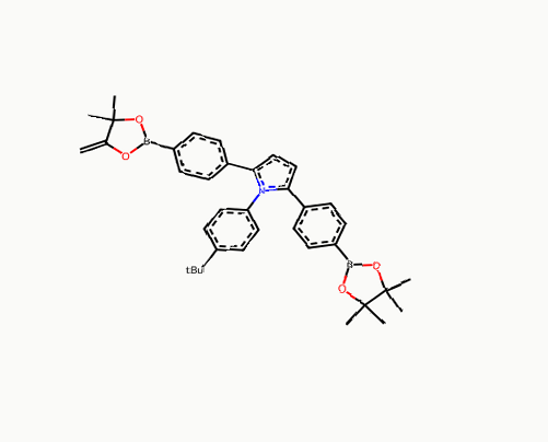 C=C1OB(c2ccc(-c3ccc(-c4ccc(B5OC(C)(C)C(C)(C)O5)cc4)n3-c3ccc(C(C)(C)C)cc3)cc2)OC1(C)C